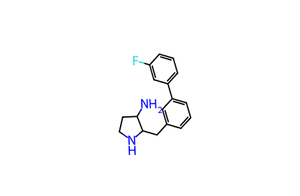 NC1CCNC1Cc1cccc(-c2cccc(F)c2)c1